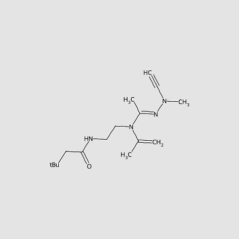 C#CN(C)/N=C(\C)N(CCNC(=O)CC(C)(C)C)C(=C)C